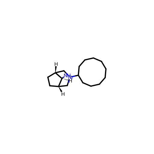 N[C@@H]1[C@@H]2CC[C@H]1CN(C1CCCCCCCCC1)C2